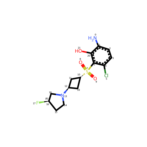 Nc1ccc(Cl)c(S(=O)(=O)[C@H]2C[C@H](N3CC[C@@H](F)C3)C2)c1O